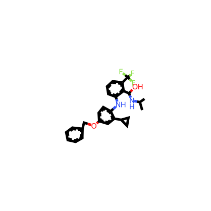 CC(C)NC(O)c1c(Nc2ccc(OCc3ccccc3)cc2C2CC2)cccc1C(F)(F)F